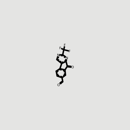 O=Cc1ccc2c(c1)C(=O)c1nc(C(F)(F)F)ncc1-2